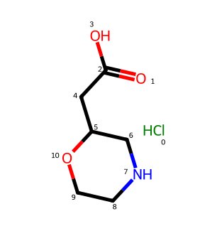 Cl.O=C(O)CC1CNCCO1